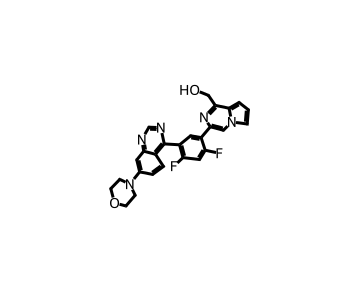 OCc1nc(-c2cc(-c3ncnc4cc(N5CCOCC5)ccc34)c(F)cc2F)cn2cccc12